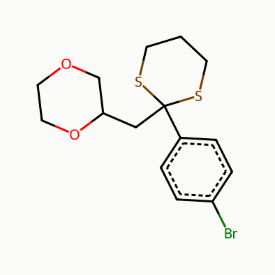 Brc1ccc(C2(CC3COCCO3)SCCCS2)cc1